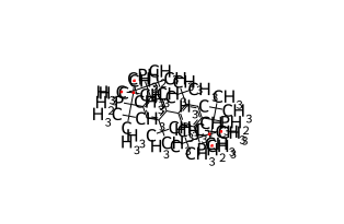 CC(C)(C)c1cc(C(P)(C(C)(C)C)C(C)(C)C)c(C(P)(C(C)(C)C)C(C)(C)C)cc1-c1cc(C(P)(C(C)(C)C)C(C)(C)C)c(C(P)(C(C)(C)C)C(C)(C)C)cc1C(C)(C)C